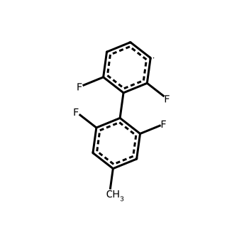 Cc1cc(F)c(-c2c(F)[c]ccc2F)c(F)c1